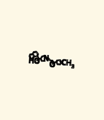 Cc1ccc(C(=O)CCCN2CCC(C(O)c3cccc4ccccc34)CC2)cc1